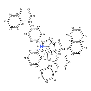 c1ccc2c(c1)-c1ccccc1C21c2ccccc2-c2cccc(N(c3ccc(-c4cccc5ccccc45)cc3)c3ccc(-c4cccc5ccccc45)cc3)c21